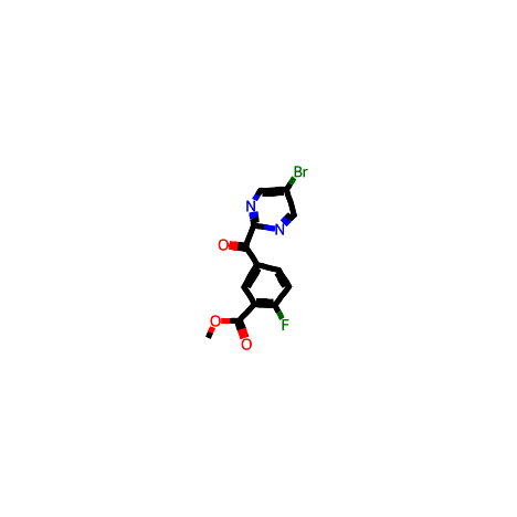 COC(=O)c1cc(C(=O)c2ncc(Br)cn2)ccc1F